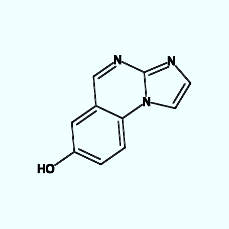 Oc1ccc2c(cnc3nccn32)c1